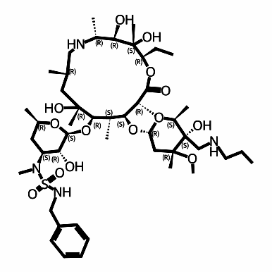 CCCNC[C@]1(O)[C@H](C)O[C@@H](O[C@H]2[C@H](C)[C@@H](O[C@@H]3O[C@H](C)C[C@H](N(C)S(=O)(=O)NCc4ccccc4)[C@H]3O)[C@](C)(O)C[C@@H](C)CN[C@H](C)[C@@H](O)[C@](C)(O)[C@@H](CC)OC(=O)[C@@H]2C)C[C@@]1(C)OC